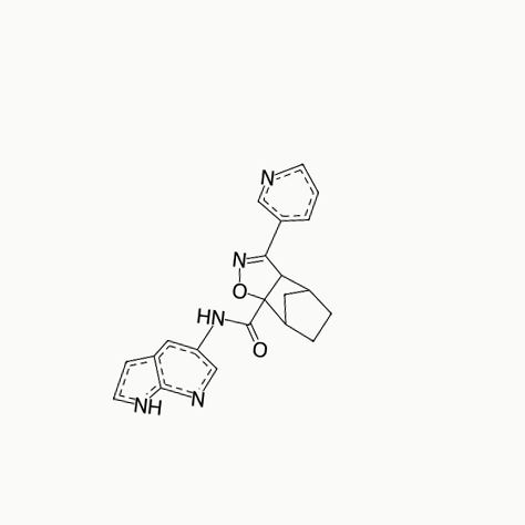 O=C(Nc1cnc2[nH]ccc2c1)C12ON=C(c3cccnc3)C1C1CCC2C1